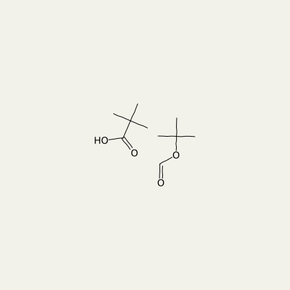 CC(C)(C)C(=O)O.CC(C)(C)OC=O